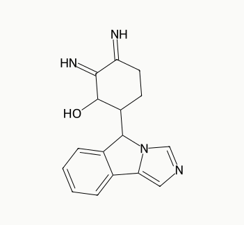 N=C1CCC(C2c3ccccc3-c3cncn32)C(O)C1=N